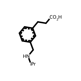 CC(C)NCc1cccc(CCC(=O)O)c1